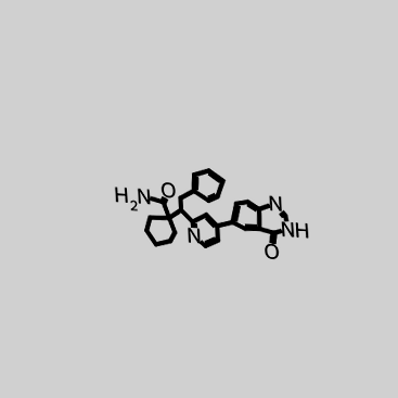 NC(=O)C1(C(Cc2ccccc2)c2cc(-c3ccc4nc[nH]c(=O)c4c3)ccn2)CCCCC1